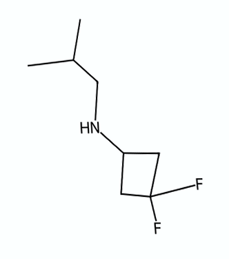 CC(C)CNC1CC(F)(F)C1